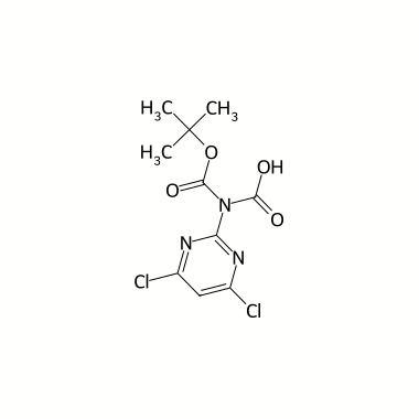 CC(C)(C)OC(=O)N(C(=O)O)c1nc(Cl)cc(Cl)n1